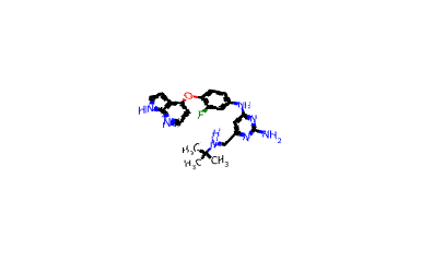 CC(C)(C)NCc1cc(Nc2ccc(Oc3ccnc4[nH]ccc34)c(F)c2)nc(N)n1